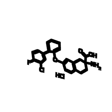 Cl.NC1(C(=O)O)CCc2ccc(Oc3ccccc3-c3ccc(F)c(Cl)c3)cc2C1